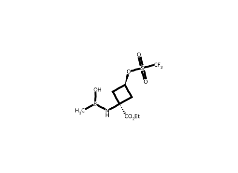 CCOC(=O)[C@]1(NB(C)O)C[C@@H](OS(=O)(=O)C(F)(F)F)C1